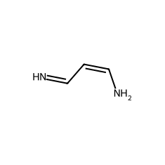 N=C/C=C\N